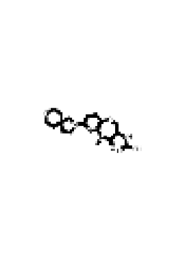 CN1C(=O)C(NC(=O)O)COc2ccc(N3CCC4(CCOCC4)C3)nc21